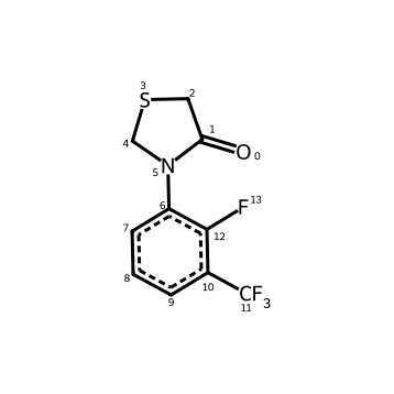 O=C1CSCN1c1cccc(C(F)(F)F)c1F